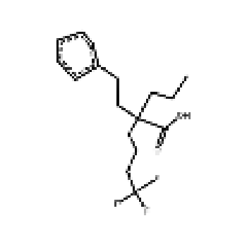 CCCC(CCCC(F)(F)F)(CCc1ccccc1)C(=O)O